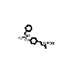 C=C(/C=C/c1ccc(N[SH](=O)(P)Cc2ccccc2)cc1)NO